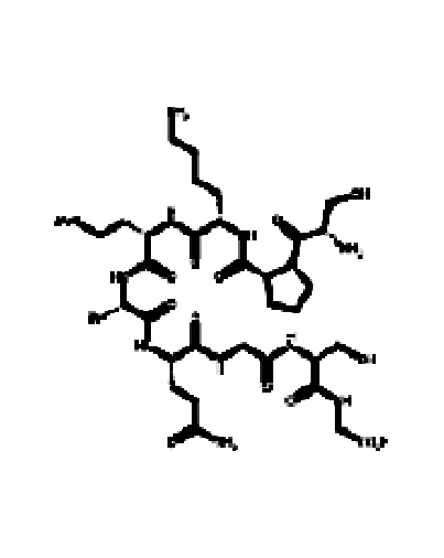 CSCC[C@H](NC(=O)[C@H](CCCCN)NC(=O)[C@@H]1CCCN1C(=O)[C@@H](N)CO)C(=O)N[C@H](C(=O)N[C@@H](CCC(N)=O)C(=O)NCC(=O)N[C@@H](CO)C(=O)NCC(=O)O)C(C)C